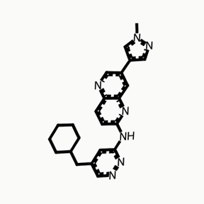 Cn1cc(-c2cnc3ccc(Nc4cc(CC5CCCCC5)cnn4)nc3c2)cn1